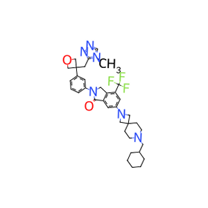 Cn1cnnc1CC1(c2cccc(N3Cc4c(cc(N5CC6(CCN(CC7CCCCC7)CC6)C5)cc4C(F)(F)F)C3=O)c2)COC1